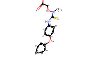 CN(OCC(=O)O)C(=S)Nc1ccc(Oc2ccccc2)cc1